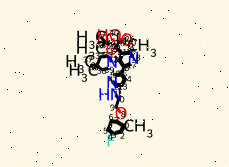 Cc1cc(F)ccc1OCCNc1ccc(-c2cnc(C)c([C@H](OC(C)(C)C)C(=O)O)c2N2CCC(C)(C)CC2)cn1